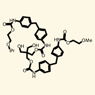 COCCOC(=O)Nc1ccc(Cc2ccc(NC(=O)OCC(CO)(CO)COC(=O)Nc3ccc(Cc4ccc(NC(=O)OCCOC(C)C)cc4)cc3)cc2)cc1